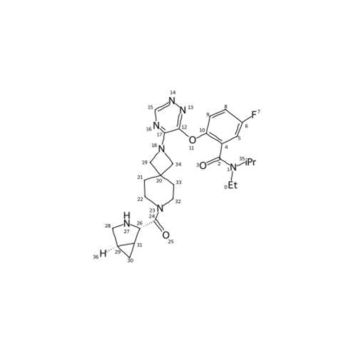 CCN(C(=O)c1cc(F)ccc1Oc1nncnc1N1CC2(CCN(C(=O)[C@H]3NC[C@@H]4CC43)CC2)C1)C(C)C